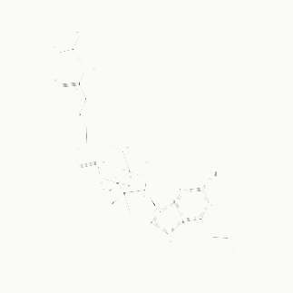 CCOc1nc(N)nc2c1ncn2[C@@H]1O[C@@H]2COP(=O)(OCCCC(=O)OC(C)C)O[C@H]2[C@@]1(C)Cl